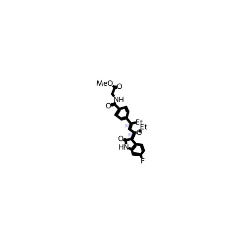 CCOC(/C=C(\CC)c1ccc(C(=O)NCC(=O)OC)cc1)=C1/C(=O)Nc2cc(F)ccc21